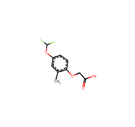 Cc1cc(OC(F)F)ccc1OCC(=O)O